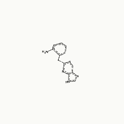 Nc1ccccc1Cc1ncc2nc[nH]c2n1